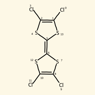 ClC1=C(Cl)SC(=C2SC(Cl)=C(Cl)S2)S1